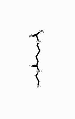 N=C(N)NCCCCC(=O)NCCO